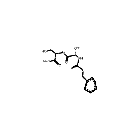 CCC[C@H](NC(=O)OCc1ccccc1)C(=O)NC(CO)C(=O)OC